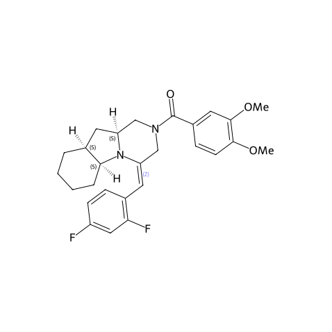 COc1ccc(C(=O)N2C/C(=C/c3ccc(F)cc3F)N3[C@@H](C[C@@H]4CCCC[C@@H]43)C2)cc1OC